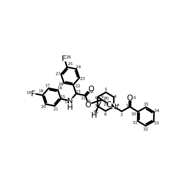 O=C(C[N+]12CCC(CC1)[C@@H](OC(=O)C(Nc1ccc(F)cc1)c1ccc(F)cc1)C2)c1ccccc1